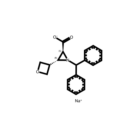 O=C([O-])[C@@H]1[C@@H](C2COC2)N1C(c1ccccc1)c1ccccc1.[Na+]